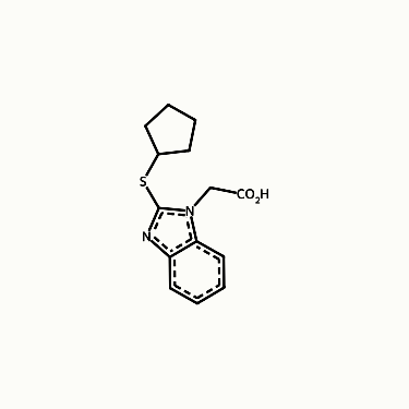 O=C(O)Cn1c(SC2CCCC2)nc2ccccc21